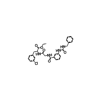 CCOC(=O)C(Cc1cccc(Cl)c1)NC(=O)CNC(=O)c1cccc(NC(=O)NCc2ccccc2)c1